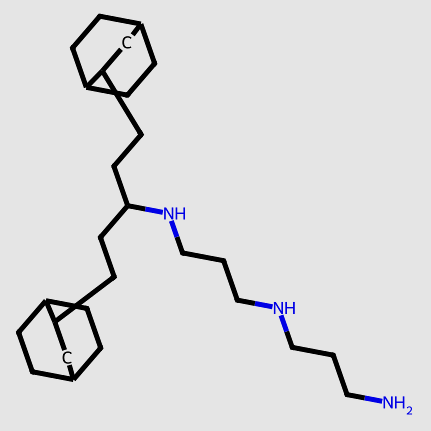 NCCCNCCCNC(CCC1CC2CCC1CC2)CCC1CC2CCC1CC2